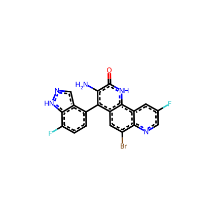 Nc1c(-c2ccc(F)c3[nH]ncc23)c2cc(Br)c3ncc(F)cc3c2[nH]c1=O